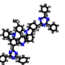 N#Cc1cc(-n2c3ccccc3c3cc(-c4nc(-c5ccccc5)nc(-c5ccccc5)n4)ccc32)c(-c2ccncc2)c(-n2c3ccccc3c3cc(-c4nc(-c5ccccc5)nc(-c5ccccc5)n4)ccc32)c1